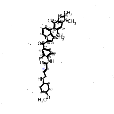 COC1CCC(NC/C=C/C(=O)Nc2c(F)cc(C(=O)c3cc(C)c4c(-c5c(C)cc6c(nc(C)n6C)c5Cl)cccn34)cc2F)CC1